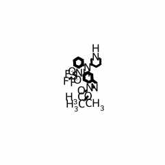 CC(C)(C)OC(=O)n1ncc2cc(N(c3ccccc3NS(=O)(=O)C(F)(F)F)C3CCCNC3)ccc21